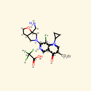 CCOC(=O)c1cn(C2CC2)c2c(F)c(N3CC4CCOC4(CN)C3)ncc2c1=O.O=C(O)C(F)(F)F